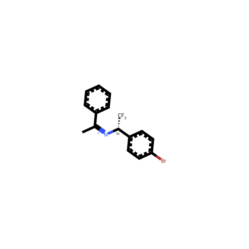 C/C(=N/[C@@H](c1ccc(Br)cc1)C(F)(F)F)c1ccccc1